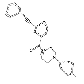 Cc1ccc(N2CCN(C(=O)c3cccc(C#Cc4ccccc4)c3)CC2)cc1